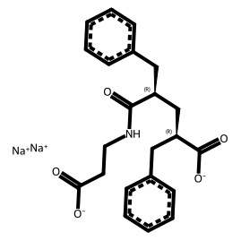 O=C([O-])CCNC(=O)[C@@H](Cc1ccccc1)C[C@H](Cc1ccccc1)C(=O)[O-].[Na+].[Na+]